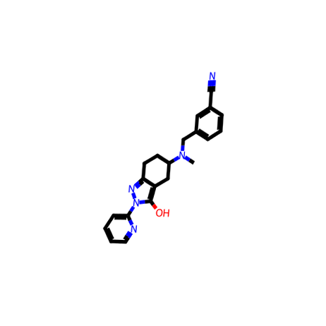 CN(Cc1cccc(C#N)c1)C1CCc2nn(-c3ccccn3)c(O)c2C1